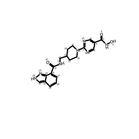 O=C(NO)c1cnc(N2CCC(CNC(=O)c3cccc4c[nH]nc34)CC2)nc1